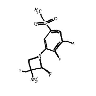 CS(=O)(=O)c1cc(F)c(F)c(N2CC(N)(F)C2F)c1